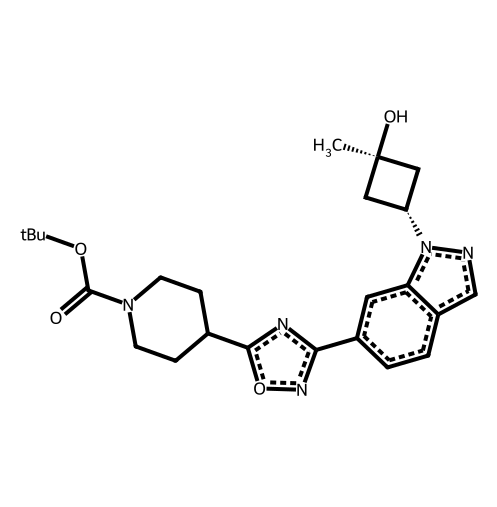 CC(C)(C)OC(=O)N1CCC(c2nc(-c3ccc4cnn([C@H]5C[C@](C)(O)C5)c4c3)no2)CC1